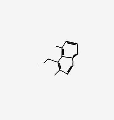 CCc1c(F)ccc2cccc(O)c12